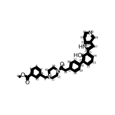 COC(=O)c1cccc(CN2CCN(C(=O)Cc3ccc(-c4cccc(-c5cc6cnccc6[nH]5)c4O)cc3)CC2)c1